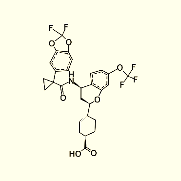 O=C(N[C@@H]1C[C@H]([C@H]2CC[C@H](C(=O)O)CC2)Oc2cc(OC(F)(F)F)ccc21)C1(c2ccc3c(c2)OC(F)(F)O3)CC1